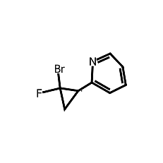 FC1(Br)C[C]1c1ccccn1